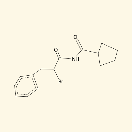 O=C(NC(=O)C1CCCC1)C(Br)Cc1ccccc1